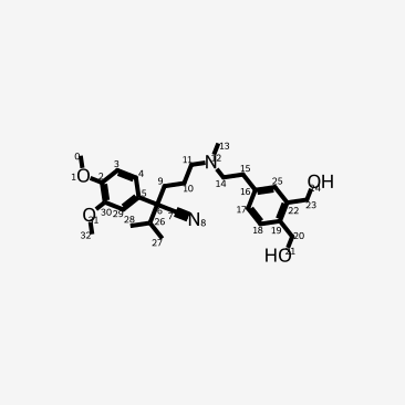 COc1ccc(C(C#N)(CCCN(C)CCc2ccc(CO)c(CO)c2)C(C)C)cc1OC